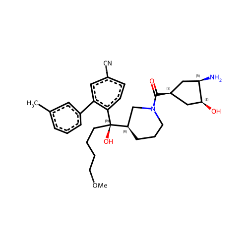 COCCCC[C@](O)(c1ccc(C#N)cc1-c1cccc(C)c1)[C@@H]1CCCN(C(=O)[C@H]2C[C@@H](N)[C@@H](O)C2)C1